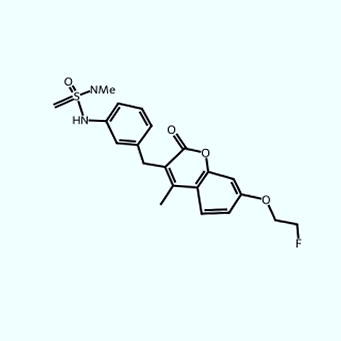 C=S(=O)(NC)Nc1cccc(Cc2c(C)c3ccc(OCCF)cc3oc2=O)c1